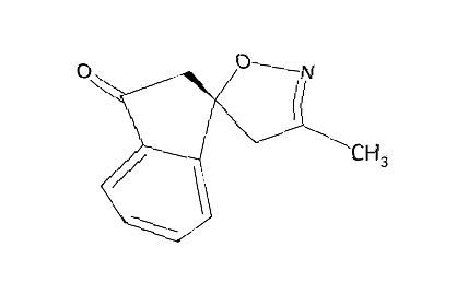 CC1=NO[C@]2(CC(=O)c3ccccc32)C1